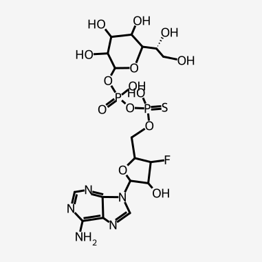 Nc1ncnc2c1ncn2C1OC(COP(O)(=S)OP(=O)(O)OC2OC([C@H](O)CO)C(O)C(O)C2O)C(F)C1O